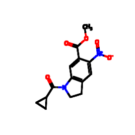 COC(=O)c1cc2c(cc1[N+](=O)[O-])CCN2C(=O)C1CC1